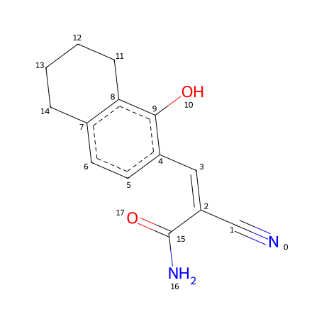 N#CC(=Cc1ccc2c(c1O)CCCC2)C(N)=O